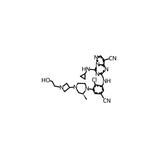 C[C@H]1CN(C2CN(CCO)C2)CCN1c1cc(C#N)cc(Nc2nc(NC3CC3)n3ncc(C#N)c3n2)c1Cl